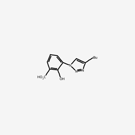 CCC(C)c1cn(-c2cccc(C(=O)O)c2O)nn1